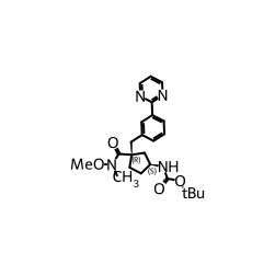 CON(C)C(=O)[C@@]1(Cc2cccc(-c3ncccn3)c2)CC[C@H](NC(=O)OC(C)(C)C)C1